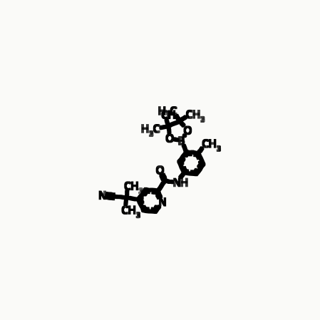 Cc1ccc(NC(=O)c2cc(C(C)(C)C#N)ccn2)cc1B1OC(C)(C)C(C)(C)O1